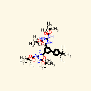 CC(C)(C)OC(=O)/N=C(/NCc1cc(CNC(NC(=O)OC(C)(C)C)NC(=O)OC(C)(C)C)cc(-c2ccc(C(C)(C)C)cc2)c1)NC(=O)OC(C)(C)C